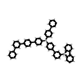 c1ccc(-c2ccc(N(c3ccc(-c4ccc(-c5cccc(-c6ccccc6)c5)cc4)cc3)c3ccc(-c4cccc(-n5c6ccccc6c6ccccc65)c4)cc3)cc2)cc1